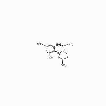 C=C(C)[C@@H]1CCC(C)C[C@H]1c1c(O)cc(CCC)cc1O